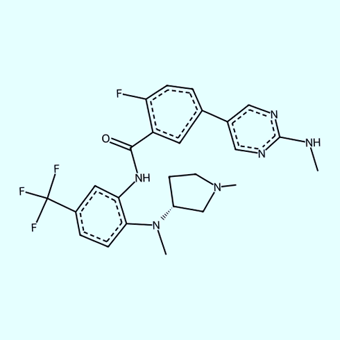 CNc1ncc(-c2ccc(F)c(C(=O)Nc3cc(C(F)(F)F)ccc3N(C)[C@@H]3CCN(C)C3)c2)cn1